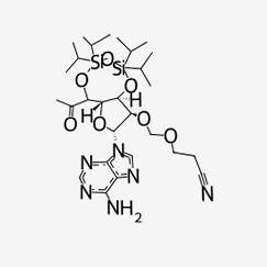 CC(=O)C1O[Si](C(C)C)(C(C)C)O[Si](C(C)C)(C(C)C)O[C@H]2[C@@H](OCOCCC#N)[C@H](n3cnc4c(N)ncnc43)O[C@H]12